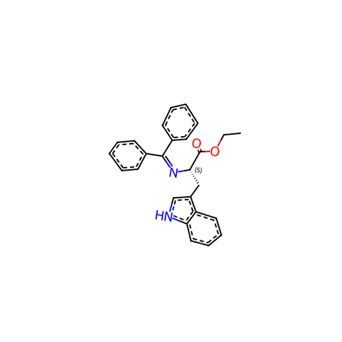 CCOC(=O)[C@H](Cc1c[nH]c2ccccc12)N=C(c1ccccc1)c1ccccc1